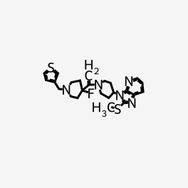 C=C(N1CCC(n2c(SC)nc3cccnc32)CC1)C1(F)CCN(Cc2ccsc2)CC1